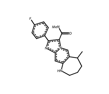 CNC(=O)c1c(-c2ccc(F)cc2)nc2cc3c(cn12)C(C)CCCN3